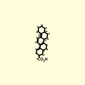 O=C(O)C1CC=C2C3=C(CCC2C1)C1CCC2CCCCC2=C1C=C3